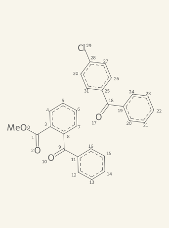 COC(=O)c1ccccc1C(=O)c1ccccc1.O=C(c1ccccc1)c1ccc(Cl)cc1